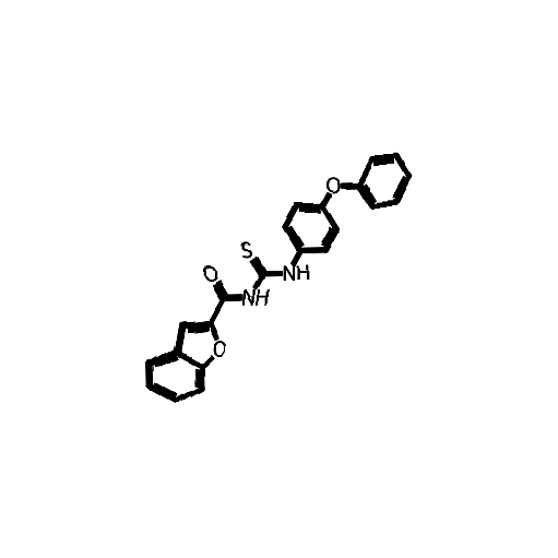 O=C(NC(=S)Nc1ccc(Oc2ccccc2)cc1)c1cc2ccccc2o1